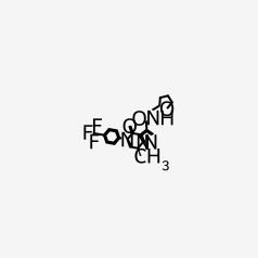 C[C@H]1CN(c2ccc(C(F)(F)F)cc2)C(=O)c2c(C(=O)NCC3CCCO3)cnn21